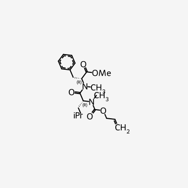 C=CCOC(=O)N(C)[C@H](CC(C)C)C(=O)N(C)[C@H](Cc1ccccc1)C(=O)OC